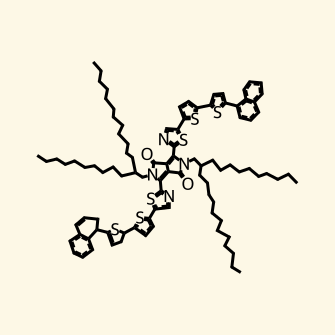 CCCCCCCCCCCCC(CCCCCCCCCC)CN1C(=O)C2=C(c3ncc(-c4ccc(C5CC=C(C6CC=Cc7ccccc76)S5)s4)s3)N(CC(CCCCCCCCCC)CCCCCCCCCCCC)C(=O)C2=C1c1ncc(-c2ccc(-c3ccc(-c4cccc5ccccc45)s3)s2)s1